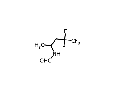 CC(CC(F)(F)C(F)(F)F)NC=O